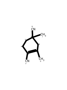 CC1=C(C#N)CCC(C)(C#N)C1